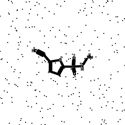 C#Cc1ccc(S(=O)(=O)NC(C)(C)C)o1